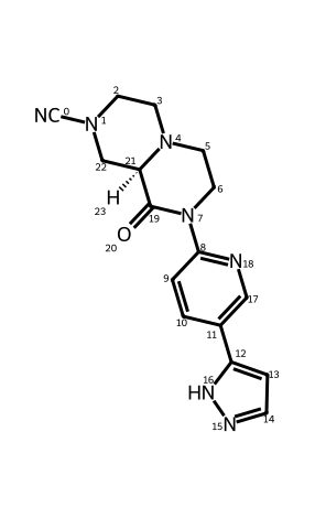 N#CN1CCN2CCN(c3ccc(-c4ccn[nH]4)cn3)C(=O)[C@H]2C1